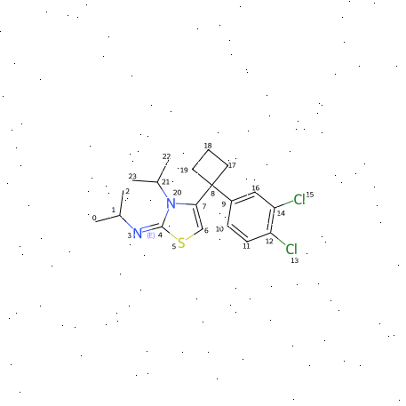 CC(C)/N=c1/scc(C2(c3ccc(Cl)c(Cl)c3)CCC2)n1C(C)C